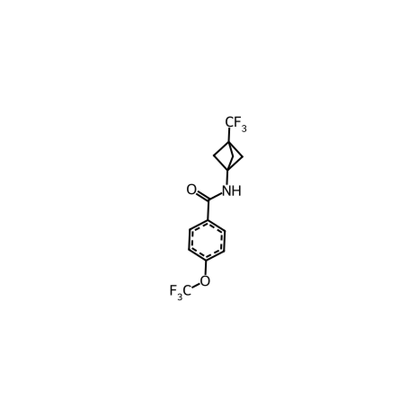 O=C(NC12CC(C(F)(F)F)(C1)C2)c1ccc(OC(F)(F)F)cc1